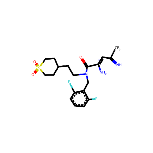 N=C(/C=C(\N)C(=O)N(CCC1CCS(=O)(=O)CC1)Cc1c(F)cccc1F)C(F)(F)F